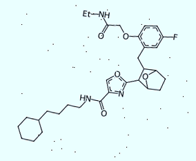 CCNC(=O)COc1ccc(F)cc1CC1C2CCC(O2)C1c1nc(C(=O)NCCCCC2CCCCC2)co1